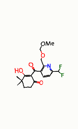 COCOCc1nc(C(F)F)ccc1C(=O)C1=C(O)C(C)(C)CCC1=O